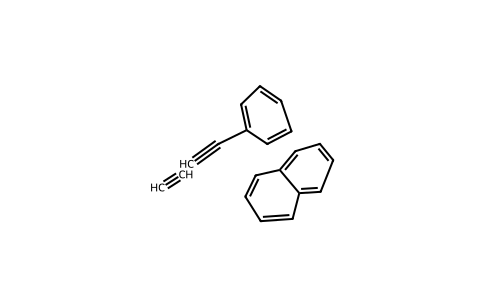 C#C.C#Cc1ccccc1.c1ccc2ccccc2c1